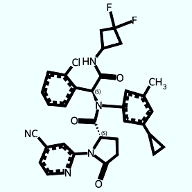 Cc1cc(C2CC2)cc(N(C(=O)[C@@H]2CCC(=O)N2c2cc(C#N)ccn2)[C@H](C(=O)NC2CC(F)(F)C2)c2ccccc2Cl)c1